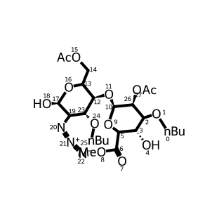 CCCCOC1[C@H](O)C(C(=O)OC)O[C@@H](O[C@@H]2C(COC(C)=O)O[C@H](O)C(N=[N+]=[N-])[C@H]2OCCCC)[C@H]1OC(C)=O